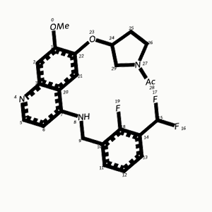 COc1cc2nccc(NCc3cccc(C(F)F)c3F)c2cc1OC1CCN(C(C)=O)C1